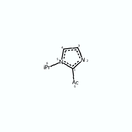 CC(=O)c1nccn1C(C)C